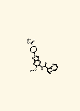 CC(C)Oc1nc2nn(C3CCN(C(=O)OC(C)(C)C)CC3)cc2cc1NC(=O)c1cnn2cccnc12